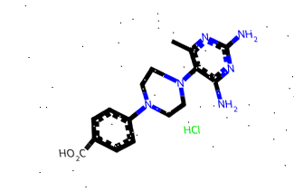 Cc1nc(N)nc(N)c1N1CCN(c2ccc(C(=O)O)cc2)CC1.Cl